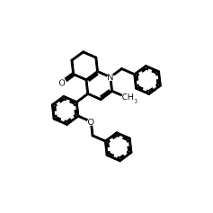 CC1=CC(c2ccccc2OCc2ccccc2)C2=C(CCCC2=O)N1Cc1ccccc1